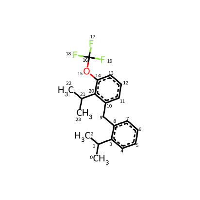 CC(C)c1ccccc1Cc1cccc(OC(F)(F)F)c1C(C)C